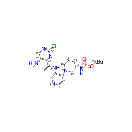 C=C(Nc1cnccc1N1CCC[C@H](NC(=O)OC(C)(C)C)C1)c1nc(Cl)ncc1N